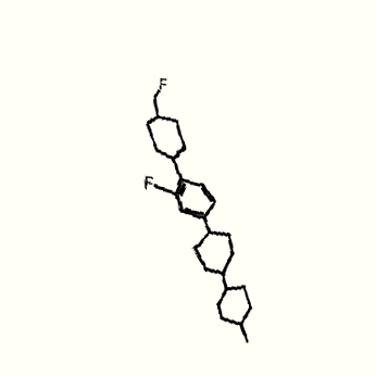 CC1CCC(C2CCC(c3ccc(C4CCC(CF)CC4)c(F)c3)CC2)CC1